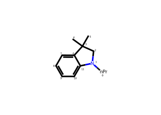 CCCN1CC(C)(C)c2ccccc21